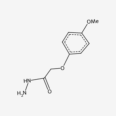 COc1ccc(OCC(=O)NN)cc1